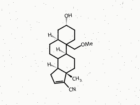 COCC12CC[C@@H](O)C[C@@H]1CCC1[C@@H]2CC[C@]2(C)C(C#N)=CC[C@@H]12